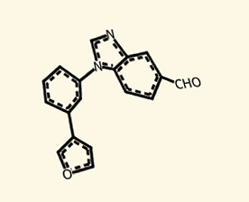 O=Cc1ccc2c(c1)ncn2-c1cccc(-c2ccoc2)c1